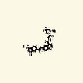 C/C(=C\c1ccc2nccc(C(=O)NCC(=O)N3CC(F)(F)C[C@H]3C#N)c2c1)c1ccc2c(c1)NCN2C